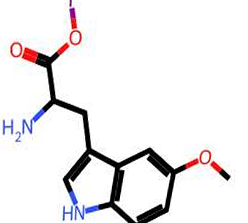 COc1ccc2[nH]cc(CC(N)C(=O)OI)c2c1